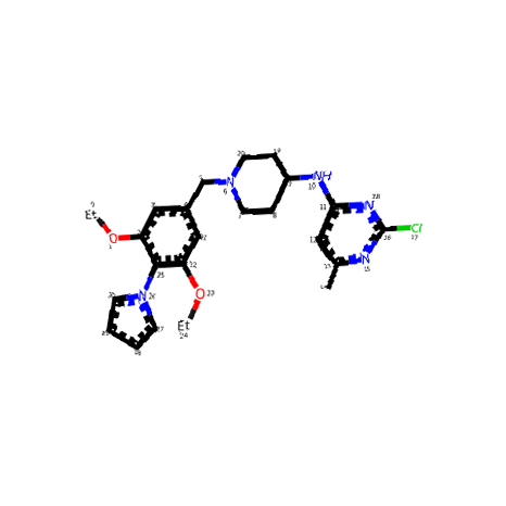 CCOc1cc(CN2CCC(Nc3cc(C)nc(Cl)n3)CC2)cc(OCC)c1-n1cccc1